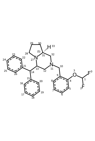 FC(F)Oc1ccccc1CN1CC(C(c2ccccc2)c2ccccc2)N2CCC[C@H]2C1